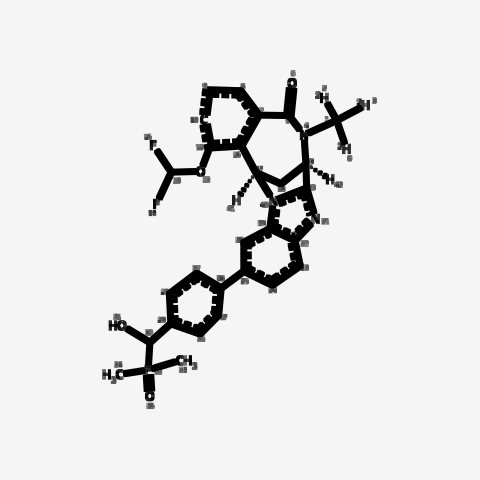 [2H]C([2H])([2H])N1C(=O)c2cccc(OC(F)F)c2[C@H]2C[C@@H]1c1nc3ccc(-c4ccc(C(O)P(C)(C)=O)cc4)cc3n12